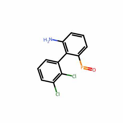 Nc1cccc(P=O)c1-c1cccc(Cl)c1Cl